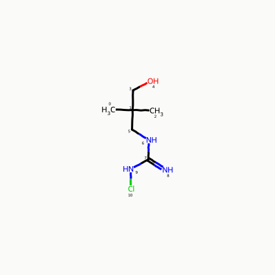 CC(C)(CO)CNC(=N)NCl